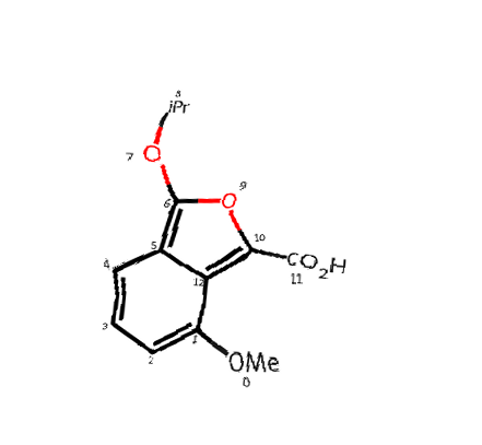 COc1cccc2c(OC(C)C)oc(C(=O)O)c12